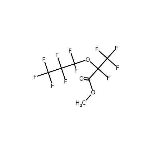 COC(=O)C(F)(OC(F)(F)C(F)(F)C(F)(F)F)C(F)(F)F